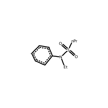 CCCS(=O)(=O)N(CC)c1cc[c]cc1